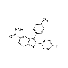 CNC(=O)c1cn2c(-c3ccc(C(F)(F)F)cc3)c(-c3ccc(F)cc3)nc2cn1